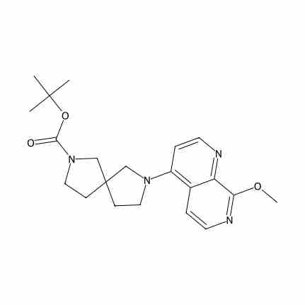 COc1nccc2c(N3CCC4(CCN(C(=O)OC(C)(C)C)C4)C3)ccnc12